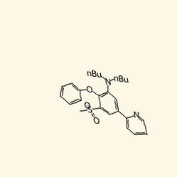 CCCCN(CCCC)c1cc(-c2ccccn2)cc(S(C)(=O)=O)c1Oc1ccccc1